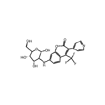 O=c1oc2cc(NC3C(O)OC(CO)[C@@H](O)[C@@H]3O)ccc2c(C(F)(F)F)c1-c1ccncc1